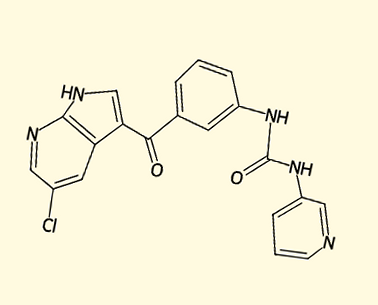 O=C(Nc1cccnc1)Nc1cccc(C(=O)c2c[nH]c3ncc(Cl)cc23)c1